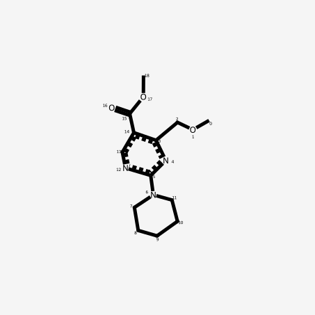 COCc1nc(N2CCCCC2)ncc1C(=O)OC